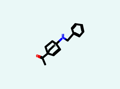 CC(=O)C12C=CC(NCc3ccccc3)(CC1)CC2